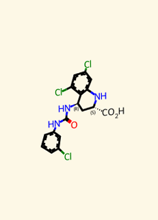 O=C(Nc1cccc(Cl)c1)N[C@@H]1C[C@@H](C(=O)O)Nc2cc(Cl)cc(Cl)c21